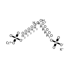 O.O.O.O.O.O.O.O.O.O.O.O.O=S(=O)([O-])[O-].O=S(=O)([O-])[O-].[Cr+3].[K+]